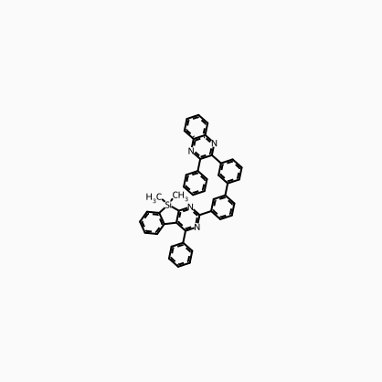 C[Si]1(C)c2ccccc2-c2c(-c3ccccc3)nc(-c3cccc(-c4cccc(-c5nc6ccccc6nc5-c5ccccc5)c4)c3)nc21